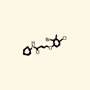 Cc1c(Cl)ccc(OCC=CC(=O)Nc2ccccc2)c1Br